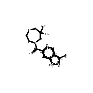 [2H]C1([2H])COCCN(C(=O)c2cc3[nH]nc(Br)c3cn2)C1